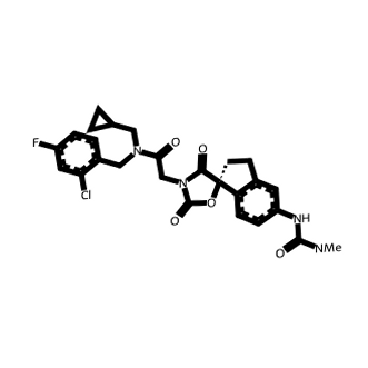 CNC(=O)Nc1ccc2c(c1)CC[C@@]21OC(=O)N(CC(=O)N(Cc2ccc(F)cc2Cl)CC2CC2)C1=O